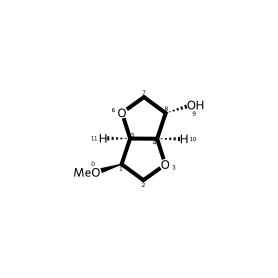 CO[C@@H]1CO[C@H]2[C@@H]1OC[C@@H]2O